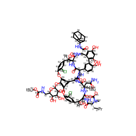 CC(C)C[C@H](C(=O)N[C@H]1C(=O)N[C@@H](CC(N)=O)C(=O)N[C@H]2C(=O)N[C@H]3C(=O)N[C@@H](C(=O)N[C@H](C(=O)NC4C5CC6CC(C5)CC4C6)c4cc(O)cc(O)c4-c4cc3ccc4O)[C@H](O)c3ccc(c(Cl)c3)Oc3cc2cc(c3OC2OC(CNC(=O)OC(C)(C)C)C(O)C(O)C2O)Oc2ccc(cc2Cl)[C@H]1O)N(C)C(=O)OC(C)(C)C